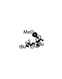 C=C[C@@H]1OC(c2ccc(OC)cc2)O[C@]1(C)CC[C@@H](CC(=O)N1C[C@@H](C(C)(C)C)SC1=S)O[Si](C)(C)C(C)(C)C